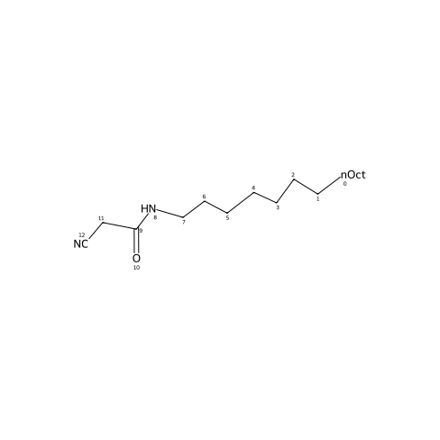 CCCCCCCCCCCCCCCNC(=O)CC#N